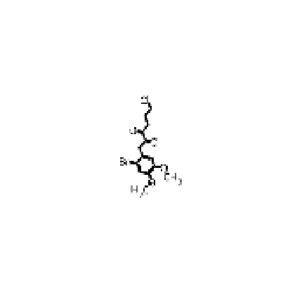 COc1cc(Br)c(CC(=O)C(=O)CCCCl)cc1OC